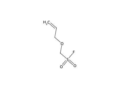 C=CCOCS(=O)(=O)F